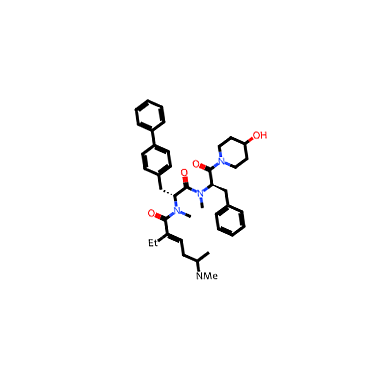 CC/C(=C\CC(C)NC)C(=O)N(C)[C@H](Cc1ccc(-c2ccccc2)cc1)C(=O)N(C)[C@H](Cc1ccccc1)C(=O)N1CCC(O)CC1